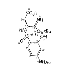 CC(=O)Nc1ccc(S(=O)(=O)N[C@@H](CC(=O)O)C(=N)OC(C)(C)C)c(O)c1